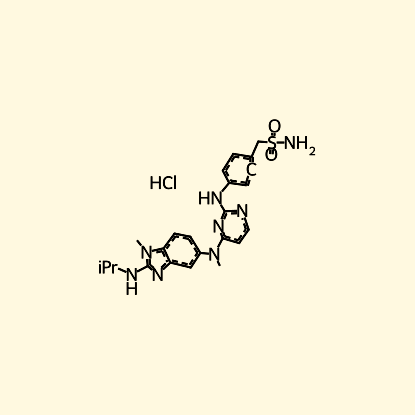 CC(C)Nc1nc2cc(N(C)c3ccnc(Nc4ccc(CS(N)(=O)=O)cc4)n3)ccc2n1C.Cl